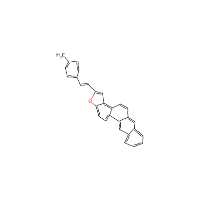 Cc1ccc(/C=C/c2cc3c(ccc4c5cc6ccccc6cc5ccc34)o2)cc1